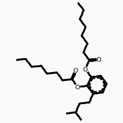 CCCCCCCC(=O)Oc1cccc(CCC(C)C)c1OC(=O)CCCCCCC